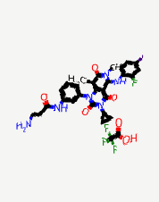 Cc1c(=O)n(C)c(Nc2ccc(I)cc2F)c2c(=O)n(C3CC3)c(=O)n(-c3cccc(NC(=O)CCN)c3)c12.O=C(O)C(F)(F)F